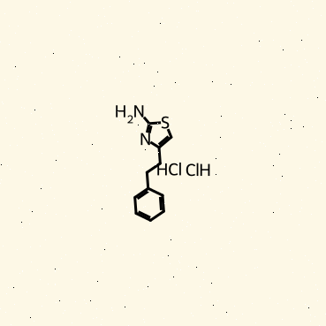 Cl.Cl.Nc1nc(CCc2ccccc2)cs1